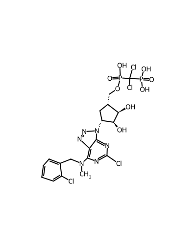 CN(Cc1ccccc1Cl)c1nc(Cl)nc2c1nnn2[C@@H]1C[C@H](COP(=O)(O)C(Cl)(Cl)P(=O)(O)O)[C@@H](O)[C@H]1O